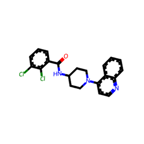 O=C(NC1CCN(c2ccnc3ccccc23)CC1)c1cccc(Cl)c1Cl